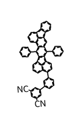 N#Cc1cc(C#N)cc(-c2cccc(-c3ccc4c5c(-c6ccccc6)c6cc7c8ccccc8c8cccc(c6c(-c6ccccc6)c5c5cccc3c45)c87)c2)c1